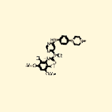 CCN(C(=O)Nc1c(Cl)c(OC)cc(OC)c1Cl)c1cc(Nc2ccc(N3CCN(C)CC3)cc2)ncn1